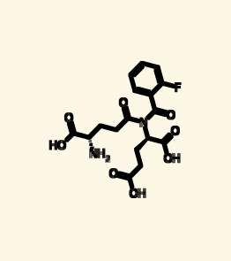 N[C@@H](CCC(=O)N(C(=O)c1ccccc1F)[C@H](CCC(=O)O)C(=O)O)C(=O)O